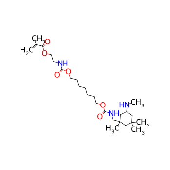 C=C(C)C(=O)OCCNC(=O)OCCCCCCCOC(=O)NCC1(C)CC(NC)CC(C)(C)C1